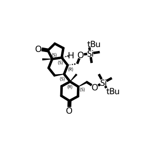 CC(C)(C)[Si](C)(C)OC[C@@H]1[C@@H]([C@@]2(C)CCC(=O)C[C@@H]2CO[Si](C)(C)C(C)(C)C)CC[C@]2(C)C(=O)CC[C@@H]12